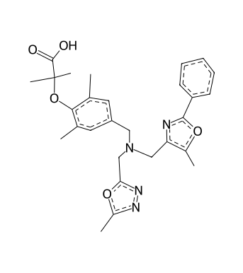 Cc1nnc(CN(Cc2cc(C)c(OC(C)(C)C(=O)O)c(C)c2)Cc2nc(-c3ccccc3)oc2C)o1